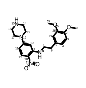 COc1ccc(CCNc2cc(N3CCNCC3)ccc2[N+](=O)[O-])cc1OC